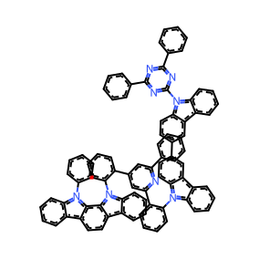 c1ccc(-c2cc(-c3ccccc3-n3c4ccccc4c4ccc5c6ccccc6n(-c6ccccc6)c5c43)cc(-c3ccccc3-n3c4ccccc4c4cc(-c5ccc6c(c5)c5ccccc5n6-c5nc(-c6ccccc6)nc(-c6ccccc6)n5)ccc43)n2)cc1